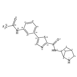 O=C(NC1CC2CNC1C2)c1ncc(-c2cccc(NC(=O)C(F)(F)F)c2)s1